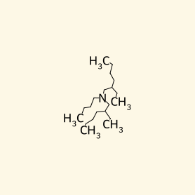 CCCCC(CC)CN(CCCC)CC(CC)CCCC